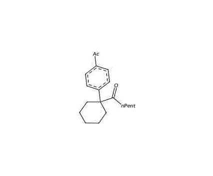 CCCCCC(=O)C1(c2ccc(C(C)=O)cc2)CCCCC1